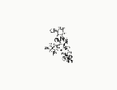 CC(C)S(=O)(=O)N1CCN(c2cnn(-c3cccc(Cl)c3)c(=O)c2OCC2(CF)CCC2)CC1